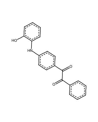 O=C(C(=O)c1ccc(Nc2ccccc2O)cc1)c1ccccc1